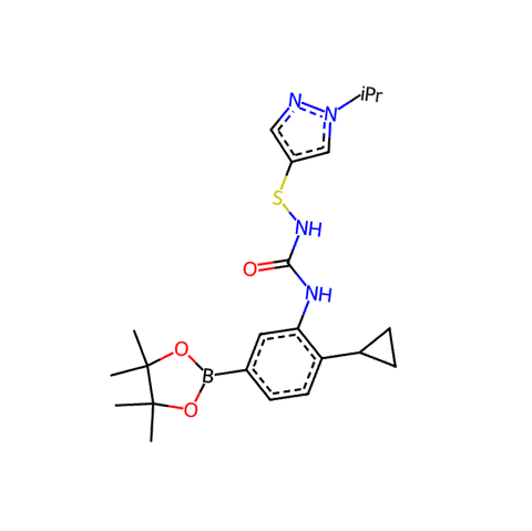 CC(C)n1cc(SNC(=O)Nc2cc(B3OC(C)(C)C(C)(C)O3)ccc2C2CC2)cn1